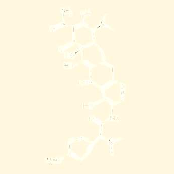 COc1ccc(C(C(=O)Nc2ccc3c(c2O)C(=O)C2=C(O)[C@]4(O)C(=O)C(C(N)=O)=C(O)[C@@H](N(C)C)C4CC2C3)N(C)C)cc1